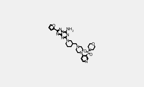 Nc1nc(N2CCCC(CN3CCN(c4ccncc4S(=O)(=O)N4CCOCC4)CC3)C2)nc2nc(-c3ccco3)nn12